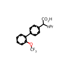 CCCC(C(=O)O)c1ccc(-c2ccccc2OC(F)(F)F)cc1